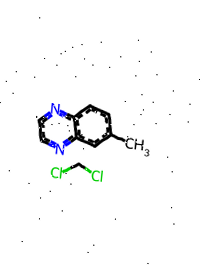 Cc1ccc2nccnc2c1.ClCCl